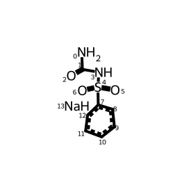 NC(=O)NS(=O)(=O)c1ccccc1.[NaH]